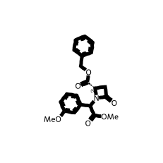 COC(=O)C(c1cccc(OC)c1)N1C(=O)C[C@H]1C(=O)OCc1ccccc1